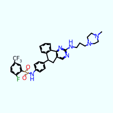 CN1CCN(CCCNc2ncc3c(n2)-c2ccccc2C(c2ccc(NS(=O)(=O)c4cc(C(F)(F)F)ccc4F)cc2)C3)CC1